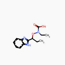 CCC(ON(CC)C(=O)O)c1nc2ccccc2[nH]1